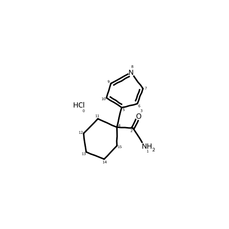 Cl.NC(=O)C1(c2ccncc2)CCCCC1